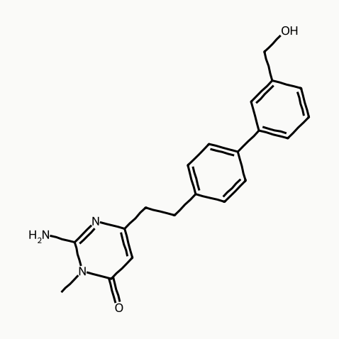 Cn1c(N)nc(CCc2ccc(-c3cccc(CO)c3)cc2)cc1=O